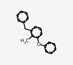 Cc1c(Cc2ccccc2)[c]ccc1Oc1ccccc1